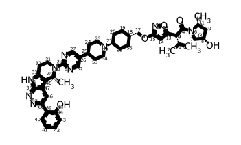 CC(C)[C@@H](C(=O)N1C[C@H](O)C[C@H]1C)c1cc(OC[C@H]2CC[C@H](N3CCC(c4cnc(N5CCc6[nH]c7nnc(-c8ccccc8O)cc7c6[C@H]5C)nc4)CC3)CC2)no1